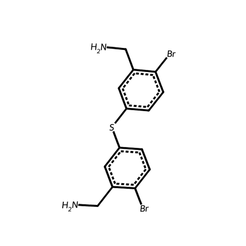 NCc1cc(Sc2ccc(Br)c(CN)c2)ccc1Br